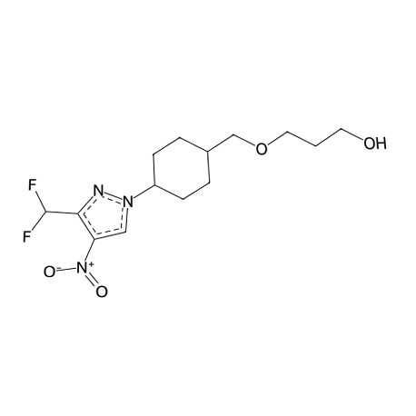 O=[N+]([O-])c1cn(C2CCC(COCCCO)CC2)nc1C(F)F